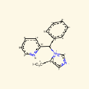 O=C(O)c1cncn1C(c1ccccc1)c1ccccn1